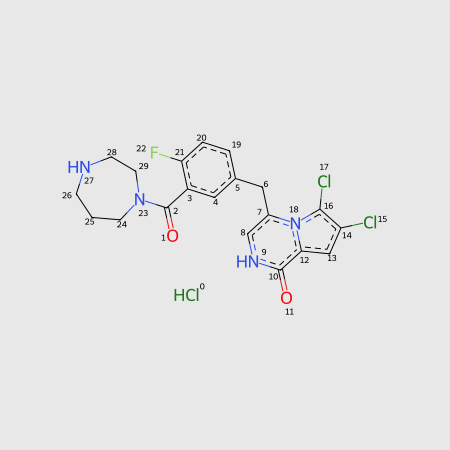 Cl.O=C(c1cc(Cc2c[nH]c(=O)c3cc(Cl)c(Cl)n23)ccc1F)N1CCCNCC1